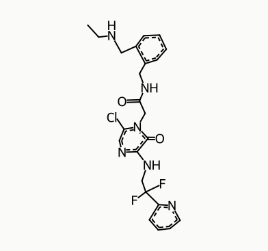 CCNCc1ccccc1CNC(=O)Cn1c(Cl)cnc(NCC(F)(F)c2ccccn2)c1=O